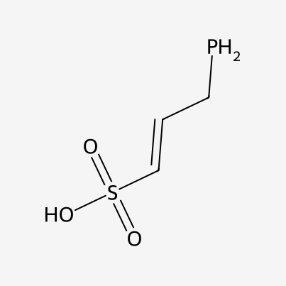 O=S(=O)(O)C=CCP